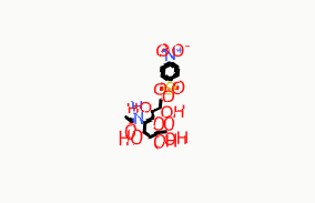 CC(=O)N[C@H]1[C@H]([C@H](O)[C@H](O)COS(=O)(=O)c2ccc([N+](=O)[O-])cc2)OC(O)(C(=O)O)C[C@@H]1O